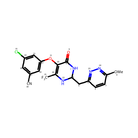 COc1ccc(CC2NC(=O)C(Oc3cc(Cl)cc(C#N)c3)=C(C(F)(F)F)N2)nn1